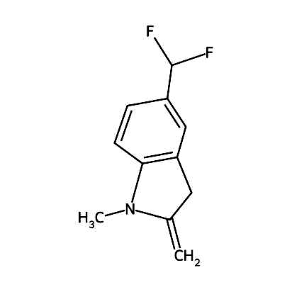 C=C1Cc2cc(C(F)F)ccc2N1C